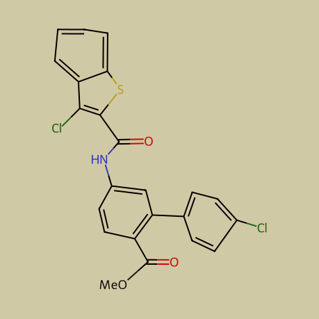 COC(=O)c1ccc(NC(=O)c2sc3ccccc3c2Cl)cc1-c1ccc(Cl)cc1